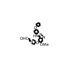 COc1cc2ncnc(Nc3ccc(Oc4ccccc4)cc3)c2cc1OC1CCN(C=CC=O)CC1